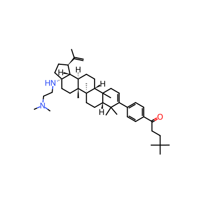 C=C(C)[C@@H]1CC[C@]2(NCCN(C)C)CC[C@]3(C)[C@H](CC[C@@H]4C5(C)CC=C(c6ccc(C(=O)CCC(C)(C)C)cc6)C(C)(C)[C@@H]5CC[C@]43C)[C@@H]12